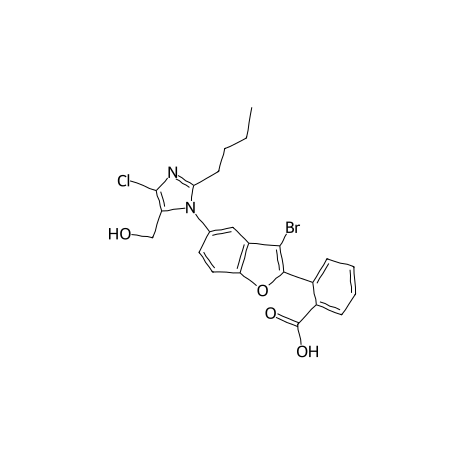 CCCCc1nc(Cl)c(CO)n1-c1ccc2oc(-c3ccccc3C(=O)O)c(Br)c2c1